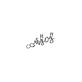 CC(=O)Nc1ccc(C(=O)Nc2nc(-c3ccc4c(c3)CCCC4)cs2)cc1